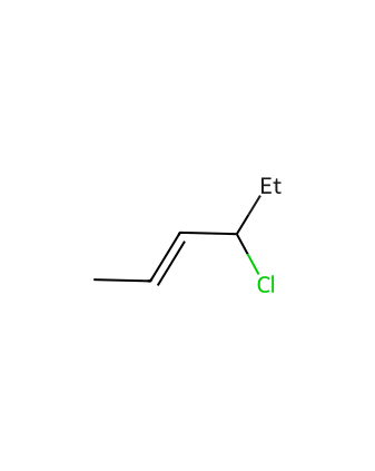 [CH2]CC(Cl)C=CC